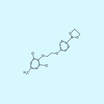 Cc1cc(Cl)c(OCCOc2ccc(B3OCCO3)cc2)c(Cl)c1